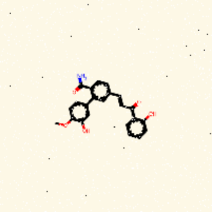 COc1ccc(-c2cc(C=CC(=O)c3ccccc3O)ccc2C(N)=O)cc1O